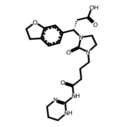 O=C(O)C[C@@H](c1ccc2c(c1)OCC2)N1CCN(CCCC(=O)NC2=NCCCN2)C1=O